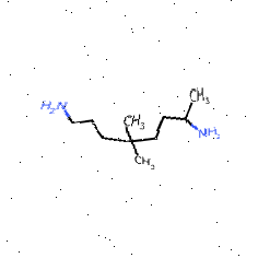 CC(N)CCC(C)(C)CCCN